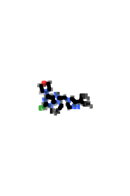 CCn1c(CN2CCNC(C(C)C)C2)nc2c(N3CCOCC3)nc(Cl)nc21